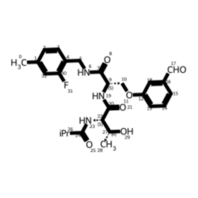 Cc1ccc(CNC(=O)[C@H](COc2cccc(C=O)c2)NC(=O)[C@@H](NC(=O)C(C)C)[C@@H](C)O)c(F)c1